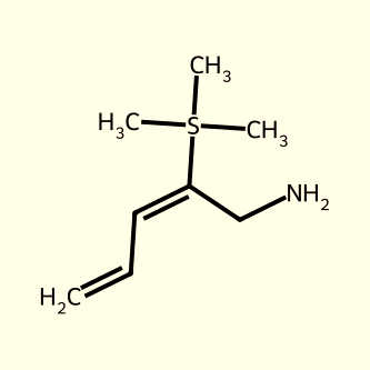 C=C/C=C(\CN)S(C)(C)C